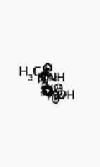 CC1=NN(c2cccc(S(=O)(=O)O)c2)C(=N)C1=O